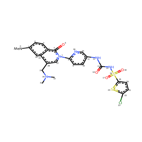 CNc1ccc2c(=O)n(-c3ccc(NC(=O)NS(=O)(=O)c4ccc(Cl)s4)cn3)cc(CN(C)C)c2c1